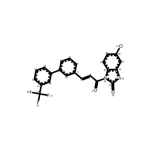 O=C(/C=C/c1cccc(-c2cccc(C(F)(F)F)c2)c1)n1c(=O)sc2cc(Cl)ccc21